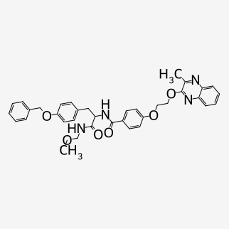 COCNC(=O)C(Cc1ccc(OCc2ccccc2)cc1)NC(=O)c1ccc(OCCOc2nc3ccccc3nc2C)cc1